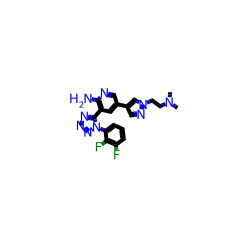 CN(C)CCn1cc(-c2cnc(N)c(-c3nnnn3-c3cccc(F)c3F)c2)cn1